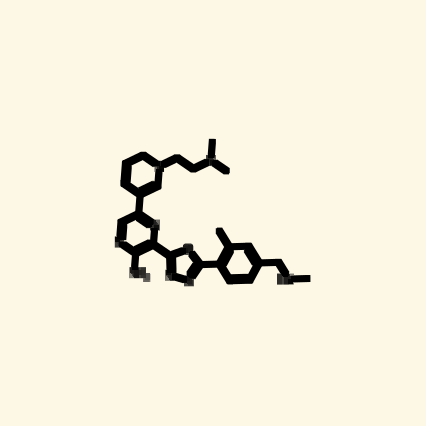 CNCc1ccc(-c2nnc(-c3nc(C4=CN(CCN(C)C)CC=C4)cnc3N)o2)c(C)c1